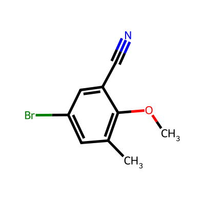 COc1c(C)cc(Br)cc1C#N